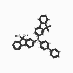 CCCC1(CCC)c2ccccc2-c2ccc(N(c3ccc(-c4ccccc4)cc3)c3ccc4c(c3)C(C)(C)c3ccccc3-4)cc21